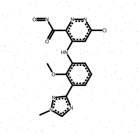 COc1c(Nc2cc(Cl)nnc2C(=O)N=O)cccc1-c1ncn(C)n1